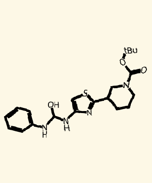 CC(C)(C)OC(=O)N1CCCC(c2nc(NC(O)Nc3ccccc3)cs2)C1